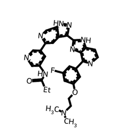 CCC(=O)Nc1cncc(-c2cc3c(-c4nc5c(-c6cc(F)cc(OCCN(C)C)c6)nccc5[nH]4)n[nH]c3cn2)c1